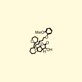 COc1ccccc1OCC/C=C(/OC1CCCCO1)[C@]12OC(=O)C(O)[C@H]1CC[C@@H]2OC1CCCCO1